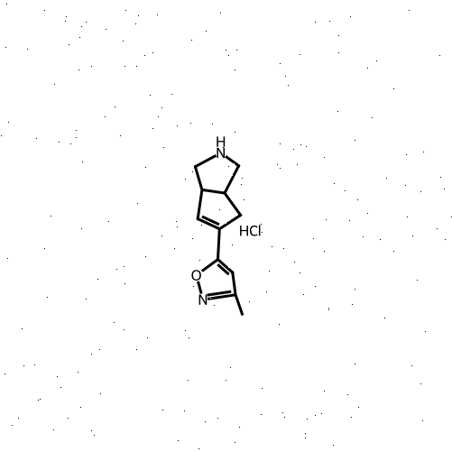 Cc1cc(C2=CC3CNCC3C2)on1.Cl